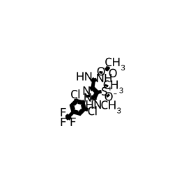 CNc1c([S+](C)[O-])c(C(=N)NOC(C)=O)nn1-c1c(Cl)cc(C(F)(F)F)cc1Cl